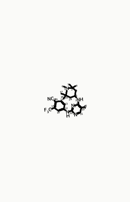 CN1C(C)(C)CC(Nc2nc(Nc3ccc(C#N)c(C(F)(F)F)c3)ncc2F)CC1(C)C